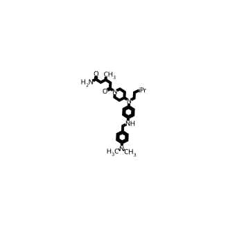 CC(C)CCN(c1ccc(NCc2ccc(N(C)C)cc2)cc1)C1CCN(C(=O)CC(C)CC(N)=O)CC1